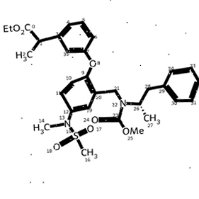 CCOC(=O)C(C)c1cccc(Oc2ccc(N(C)S(C)(=O)=O)cc2CN(C(=O)OC)[C@@H](C)Cc2ccccc2)c1